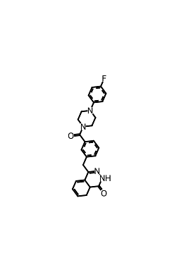 O=C1NN=C(Cc2cccc(C(=O)N3CCN(c4ccc(F)cc4)CC3)c2)C2=CC=CCC12